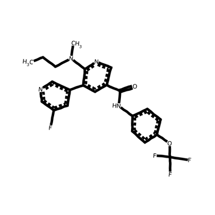 CCCN(C)c1ncc(C(=O)Nc2ccc(OC(F)(F)F)cc2)cc1-c1cncc(F)c1